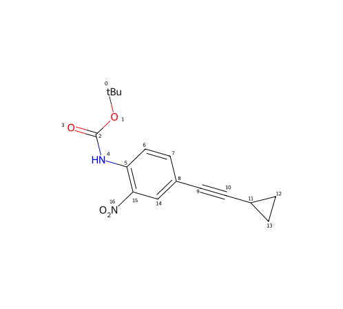 CC(C)(C)OC(=O)Nc1ccc(C#CC2CC2)cc1[N+](=O)[O-]